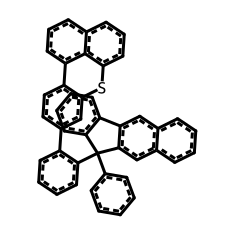 c1ccc(C2(c3ccccc3-c3ccc4c(c3)Sc3cccc5cccc-4c35)c3ccccc3-c3cc4ccccc4cc32)cc1